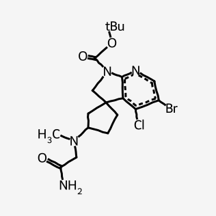 CN(CC(N)=O)C1CCC2(C1)CN(C(=O)OC(C)(C)C)c1ncc(Br)c(Cl)c12